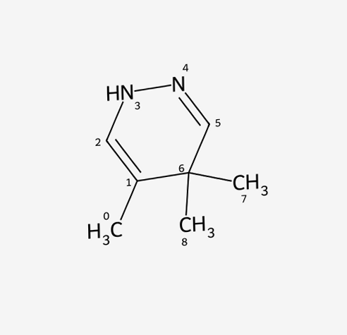 CC1=CNN=CC1(C)C